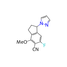 COc1c(C#N)c(F)cc2c1CCC2n1cccn1